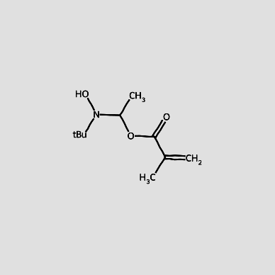 C=C(C)C(=O)OC(C)N(O)C(C)(C)C